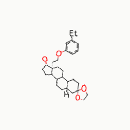 CCc1cccc(OCC[C@]23CCC4C(CC[C@H]5CC6(CCC45)OCCO6)C2CCC3=O)c1